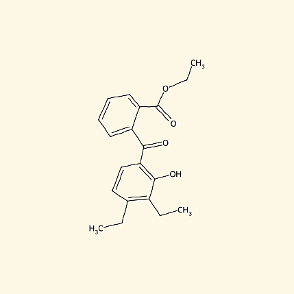 CCOC(=O)c1ccccc1C(=O)c1ccc(CC)c(CC)c1O